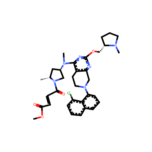 COC(=O)/C=C/C(=O)N1C[C@H](N(C)c2nc(OC[C@@H]3CCCN3C)nc3c2CCN(c2cccc4cccc(Cl)c24)C3)C[C@H]1C